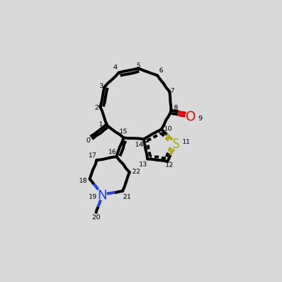 C=C1/C=C\C=C/CCC(=O)c2sccc2C1=C1CCN(C)CC1